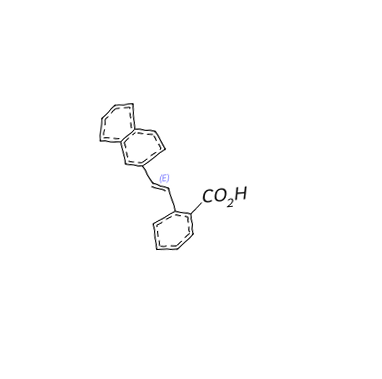 O=C(O)c1ccccc1/C=C/c1ccc2ccccc2c1